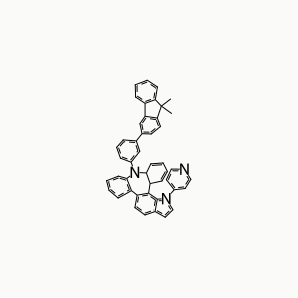 CC1(C)c2ccccc2-c2cc(-c3cccc(N4c5ccccc5-c5ccc6ccn(-c7ccncc7)c6c5C5C=CC=CC54)c3)ccc21